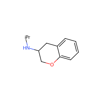 CC(C)NC1COc2ccccc2C1